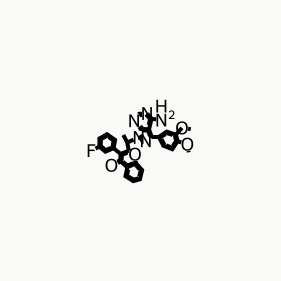 COc1ccc(-c2nn(C(C)c3oc4ccccc4c(=O)c3-c3cccc(F)c3)c3ncnc(N)c23)cc1OC